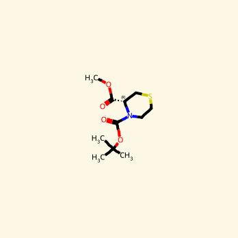 COC(=O)[C@@H]1CSCCN1C(=O)OC(C)(C)C